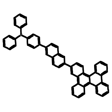 c1ccc(N(c2ccccc2)c2ccc(-c3ccc4cc(-c5ccc6c(c5)c5ccccc5c5c7ccccc7c7ccccc7c65)ccc4c3)cc2)cc1